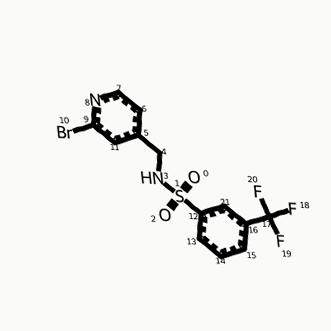 O=S(=O)(NCc1ccnc(Br)c1)c1cccc(C(F)(F)F)c1